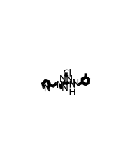 Cc1cccc(C=NNc2nc(Cl)nc3c2ncn3CCc2ccccn2)c1